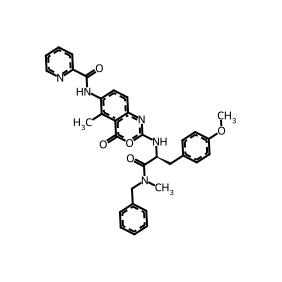 COc1ccc(C[C@H](Nc2nc3ccc(NC(=O)c4ccccn4)c(C)c3c(=O)o2)C(=O)N(C)Cc2ccccc2)cc1